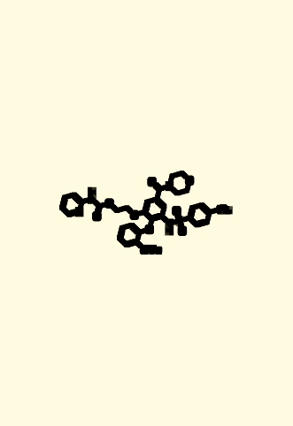 COc1ccccc1Oc1c(NS(=O)(=O)c2ccc(C(C)(C)C)cc2)cc(C(=O)N2CCOCC2)cc1OCCOC(=O)Nc1ccccn1